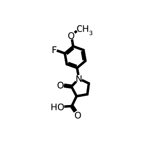 COc1ccc(N2CCC(C(=O)O)C2=O)cc1F